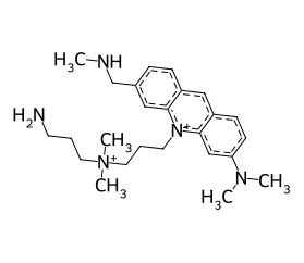 CNCc1ccc2cc3ccc(N(C)C)cc3[n+](CCC[N+](C)(C)CCCN)c2c1